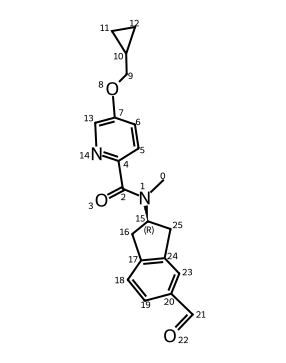 CN(C(=O)c1ccc(OCC2CC2)cn1)[C@@H]1Cc2ccc(C=O)cc2C1